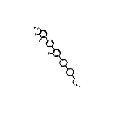 CCCC1CCC(C2CC=C(c3ccc(-c4ccc(-c5ccc(C)c(F)c5F)cc4)c(F)c3)CC2)CC1